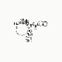 CC(C)(C)OC(=O)N[C@H]1CCCCC/C=C/[C@H]2C[C@]2(C(=O)O)NC(=O)[C@@H]2C[C@@H](OC(=O)N3CCc4ccccc4C3)CN2C1=O